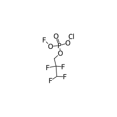 O=P(OF)(OCl)OCC(F)(F)C(F)F